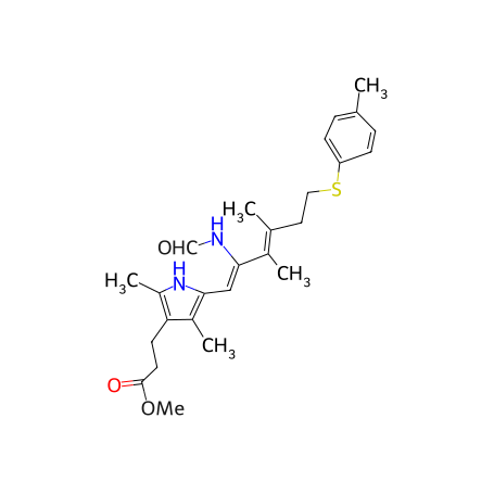 COC(=O)CCc1c(C)[nH]c(/C=C(NC=O)/C(C)=C(\C)CCSc2ccc(C)cc2)c1C